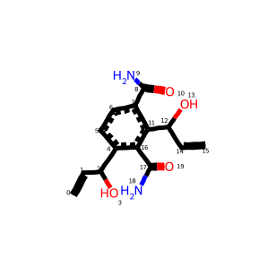 C=CC(O)c1ccc(C(N)=O)c(C(O)C=C)c1C(N)=O